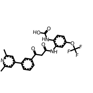 Cc1cc(-c2cccc(C(=O)CC(=O)Nc3cc(OC(F)(F)F)ccc3NC(=O)O)c2)cc(C)n1